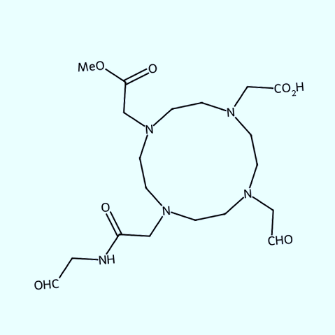 COC(=O)CN1CCN(CC(=O)O)CCN(CC=O)CCN(CC(=O)NCC=O)CC1